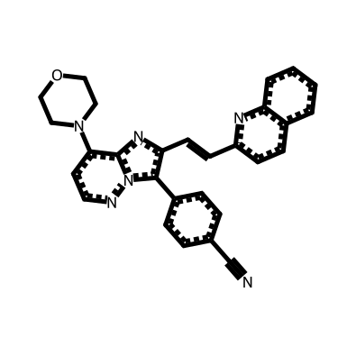 N#Cc1ccc(-c2c(C=Cc3ccc4ccccc4n3)nc3c(N4CCOCC4)ccnn23)cc1